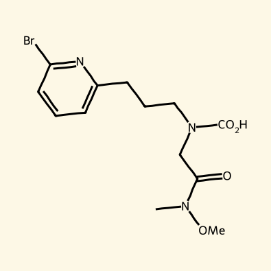 CON(C)C(=O)CN(CCCc1cccc(Br)n1)C(=O)O